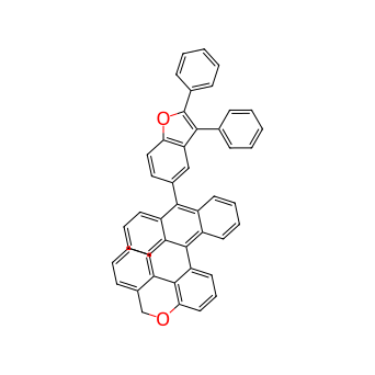 c1ccc(-c2oc3ccc(-c4c5ccccc5c(-c5cccc6c5-c5ccccc5CO6)c5ccccc45)cc3c2-c2ccccc2)cc1